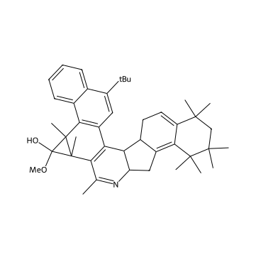 COC1(O)C2(C)C3=C(c4cc(C(C)(C)C)c5ccccc5c4C12C)C1C(CC2=C4C(=CCC21)C(C)(C)CC(C)(C)C4(C)C)N=C3C